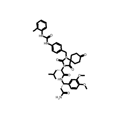 COc1ccc([C@H](CC(N)=O)NC(=O)[C@H](CC(C)C)N2C(=O)N(Cc3ccc(NC(=O)Nc4ccccc4C)cc3)C3(CCC(=O)CC3)C2=O)cc1OC